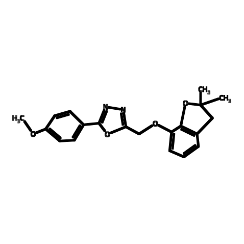 COc1ccc(-c2nnc(COc3cccc4c3OC(C)(C)C4)o2)cc1